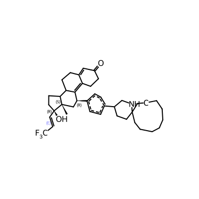 C[C@]12C[C@H](c3ccc(C4CCC5(CCCCCCCCC5)NC4)cc3)C3=C4CCC(=O)C=C4CCC3C1CC[C@@]2(O)/C=C/C(F)(F)F